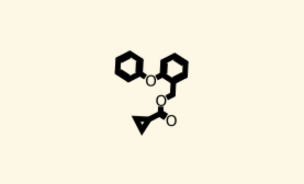 O=C(OCc1ccccc1Oc1ccccc1)C1CC1